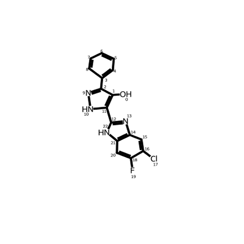 Oc1c(-c2ccccc2)n[nH]c1-c1nc2cc(Cl)c(F)cc2[nH]1